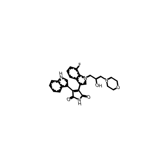 O=C1NC(=O)C(c2cn(CC(O)CN3CCOCC3)c3c(F)cccc23)=C1c1c[nH]c2ccccc12